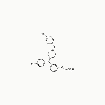 CC(C)(C)c1ccc(CN2CCN(C(c3ccc(Cl)cc3)c3cccc(OCC(=O)O)c3)CC2)cc1